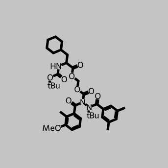 COc1cccc(C(=O)N(C(=O)OCOC(=O)C(CC2CCCCC2)NC(=O)OC(C)(C)C)N(C(=O)c2cc(C)cc(C)c2)C(C)(C)C)c1C